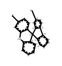 Cc1ccc2c(c1)Oc1ccccc1C21c2ccccc2-c2ccc(C)cc21